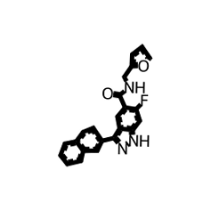 O=C(NCc1ccco1)c1cc2c(-c3ccc4ccccc4c3)n[nH]c2cc1F